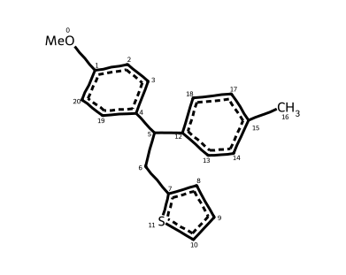 COc1ccc(C(Cc2cccs2)c2ccc(C)cc2)cc1